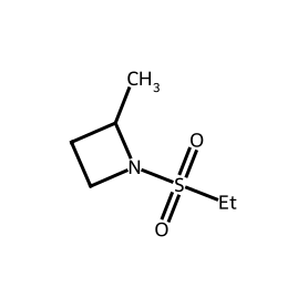 CCS(=O)(=O)N1CCC1C